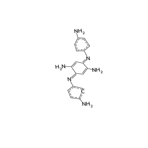 NC1=CC(=Nc2ccc(N)cc2)C(N)=CC1=Nc1ccc(N)cc1